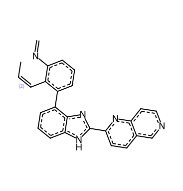 C=Nc1cccc(-c2cccc3[nH]c(-c4ccc5cnccc5n4)nc23)c1/C=C\C